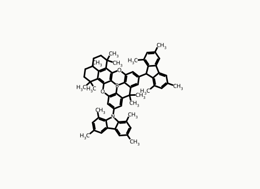 Cc1cc(C)c2c(c1)-c1cc(C)cc(C)c1C2c1cc2c3c(c1)C(C)(C)c1cc(-n4c5c(C)cc(C)cc5c5cc(C)cc(C)c54)cc4c1B3c1c(c3c5c(c1O4)C(C)(C)CCC5(C)CCC3(C)C)O2